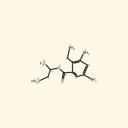 BCc1c(B)cc(B)cc1C(=O)OC(CS(=O)(=O)O)C(F)(F)F